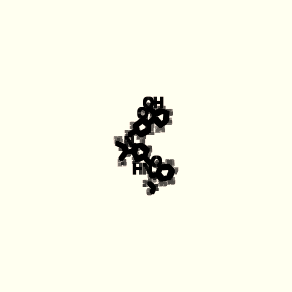 CCC[C@H](NC(=O)c1ccc2c(c1)c(C)c(C)n2Cc1ccc(-c2ccccc2C(=O)O)cc1)c1ccccc1